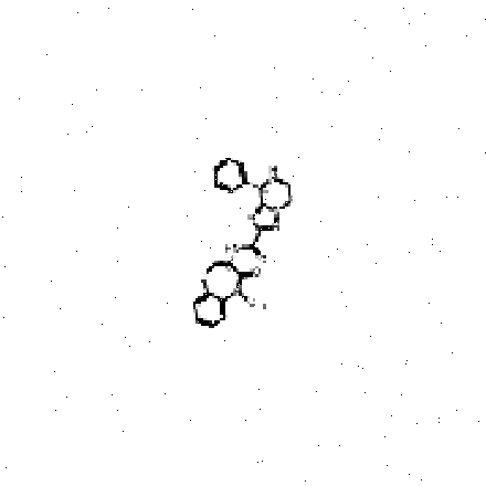 CN1C(=O)[C@@H](NC(=O)c2nc3n(n2)CCN[C@@H]3c2ccccc2)COc2ccccc21